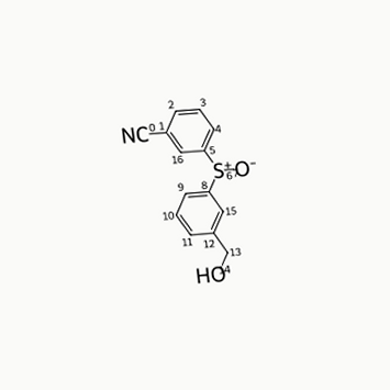 N#Cc1cccc([S+]([O-])c2cccc(CO)c2)c1